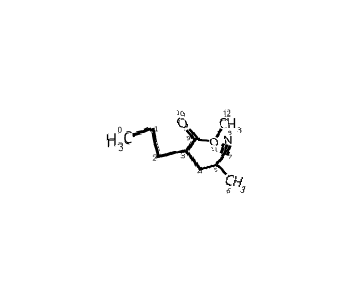 CCCC(CC(C)C#N)C(=O)OC